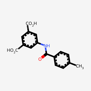 Cc1ccc(C(=O)Nc2cc(C(=O)O)cc(C(=O)O)c2)cc1